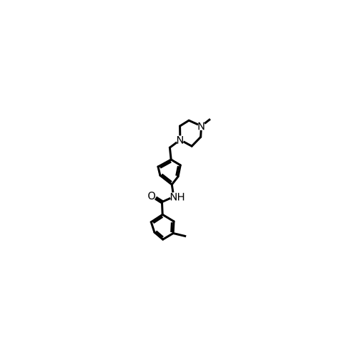 Cc1cccc(C(=O)Nc2ccc(CN3CCN(C)CC3)cc2)c1